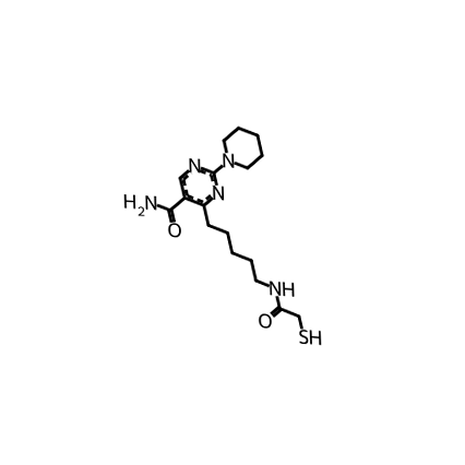 NC(=O)c1cnc(N2CCCCC2)nc1CCCCCNC(=O)CS